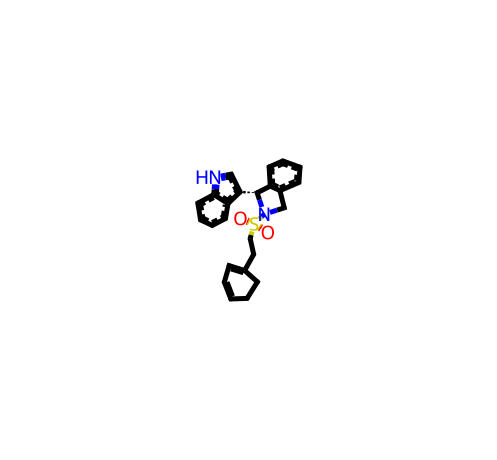 O=S(=O)(CCC1=CC=CCC1)N1Cc2ccccc2[C@H]1c1c[nH]c2ccccc12